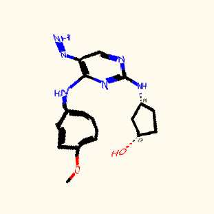 COc1ccc(Nc2nc(N[C@@H]3CC[C@H](O)C3)ncc2N=N)cc1